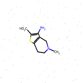 CN1CCc2sc(C(=O)O)c(N)c2C1